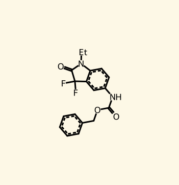 CCN1C(=O)C(F)(F)c2cc(NC(=O)OCc3ccccc3)ccc21